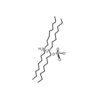 CCCCCCCC[NH2+]CCCCCCCC.CCCCCCCC[NH2+]CCCCCCCC.[O]=[W](=[O])([O-])[O-]